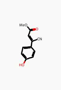 COC(=O)C=C(C#N)c1ccc(O)cc1